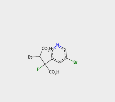 CCC(C(=O)O)C(F)(C(=O)O)c1cncc(Br)c1